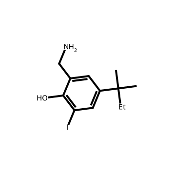 CCC(C)(C)c1cc(I)c(O)c(CN)c1